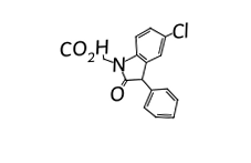 O=C(O)CN1C(=O)C(c2ccccc2)c2cc(Cl)ccc21